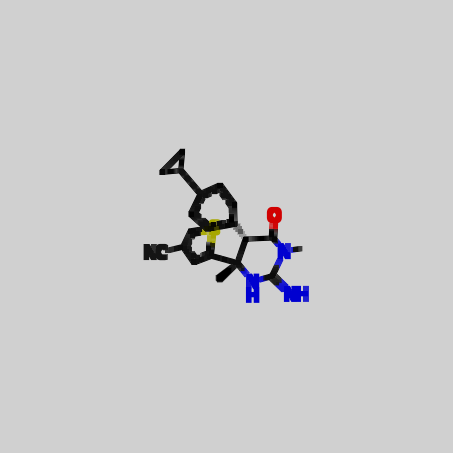 CN1C(=N)N[C@](C)(c2cc(C#N)cs2)[C@H](c2ccc(C3CC3)cc2)C1=O